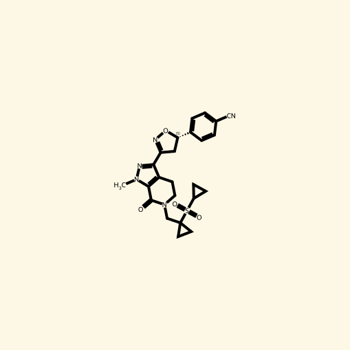 Cn1nc(C2=NO[C@H](c3ccc(C#N)cc3)C2)c2c1C(=O)N(CC1(S(=O)(=O)C3CC3)CC1)CC2